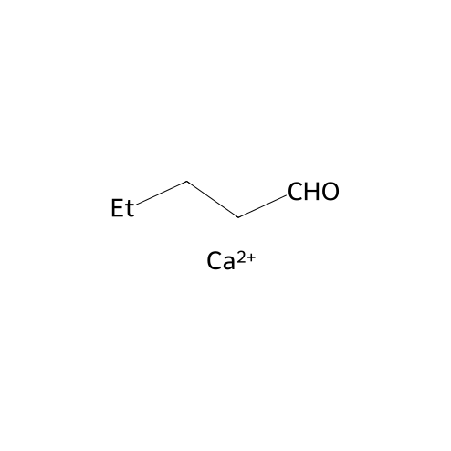 [CH2-]CCC[C-]=O.[Ca+2]